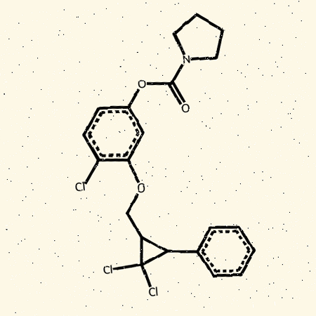 O=C(Oc1ccc(Cl)c(OCC2C(c3ccccc3)C2(Cl)Cl)c1)N1CCCC1